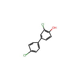 Oc1ccc(-c2ccc(Cl)cc2)cc1Cl